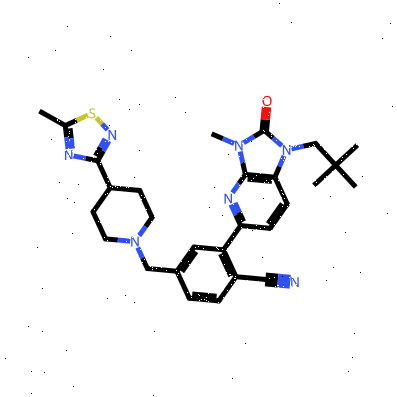 Cc1nc(C2CCN(Cc3ccc(C#N)c(-c4ccc5c(n4)n(C)c(=O)n5CC(C)(C)C)c3)CC2)ns1